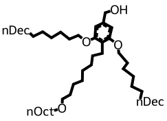 CCCCCCCCCCCCCCCCOc1cc(CO)cc(OCCCCCCCCCCCCCCCC)c1CCCCCCCCOCCCCCCCC